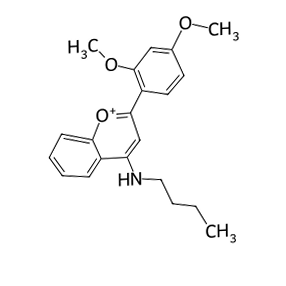 CCCCNc1cc(-c2ccc(OC)cc2OC)[o+]c2ccccc12